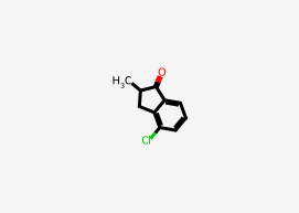 CC1Cc2c(Cl)cccc2C1=O